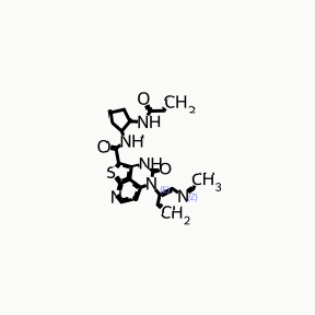 C=CC(=O)NC1CCCC1NC(=O)c1sc2nccc3c2c1NC(=O)N3/C(C=C)=C/N=C\C